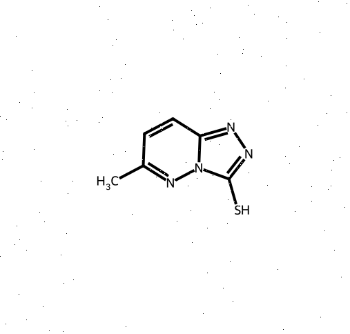 Cc1ccc2nnc(S)n2n1